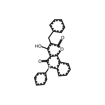 O=c1oc2c(c(O)c1Cc1ccccc1)c(=O)n(-c1ccccc1)c1ccccc21